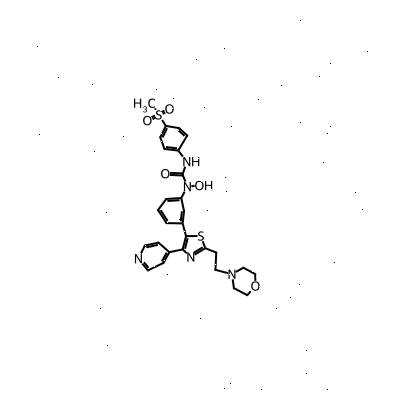 CS(=O)(=O)c1ccc(NC(=O)N(O)c2cccc(-c3sc(CCN4CCOCC4)nc3-c3ccncc3)c2)cc1